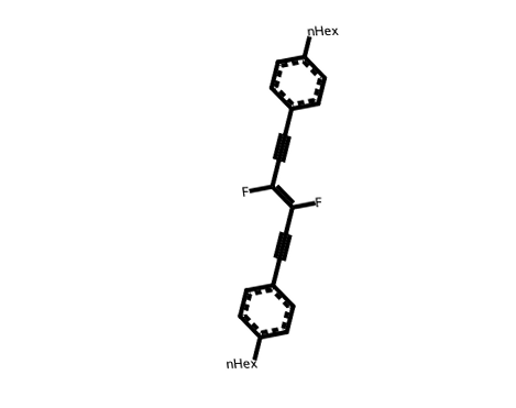 CCCCCCc1ccc(C#C/C(F)=C(\F)C#Cc2ccc(CCCCCC)cc2)cc1